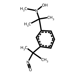 CN(O)C(C)(C)c1cccc(C(C)(C)N=O)c1